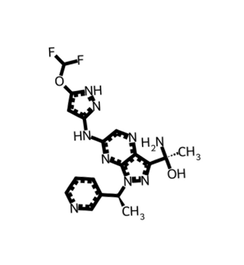 C[C@@H](c1cccnc1)n1nc([C@@](C)(N)O)c2ncc(Nc3cc(OC(F)F)[nH]n3)nc21